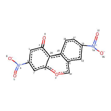 O=c1cc([N+](=O)[O-])cc2occ3cc([N+](=O)[O-])ccc3c1-2